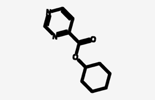 O=C(OC1CCCCC1)c1ccncn1